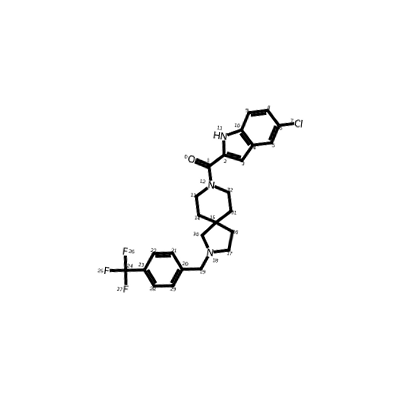 O=C(c1cc2cc(Cl)ccc2[nH]1)N1CCC2(CCN(Cc3ccc(C(F)(F)F)cc3)C2)CC1